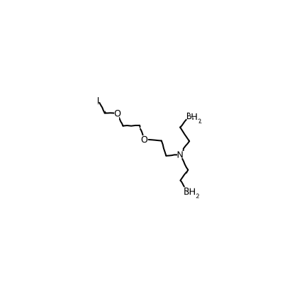 BCCN(CCB)CCOCCOCI